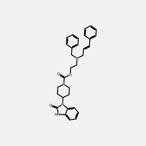 O=C(OCCN(CC=Cc1ccccc1)Cc1ccccc1)N1CCC(n2c(=O)[nH]c3ccccc32)CC1